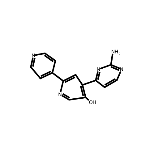 Nc1nccc(-c2cc(-c3ccncc3)ncc2O)n1